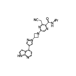 CC(C)NC(=O)c1ncc(N2CC(n3cc(-c4ccnc5[nH]ccc45)cn3)C2)nc1CC#N